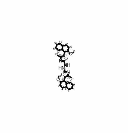 COc1ccc2ccccc2c1-c1oc(NNc2nc(C)c(-c3c(OC)ccc4ccccc34)o2)nc1C